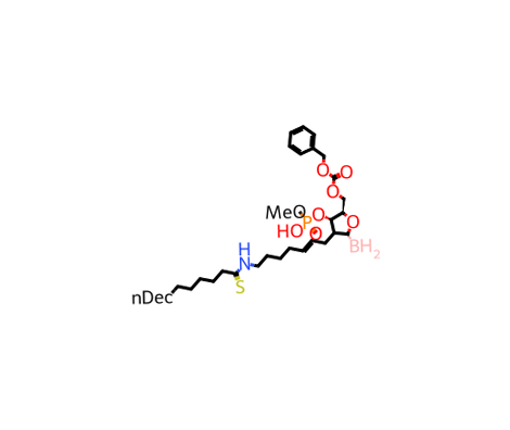 B[C@@H]1O[C@H](COC(=O)OCc2ccccc2)[C@H](OP(=O)(O)OC)C1C/C=C/CCCCNC(=S)CCCCCCCCCCCCCCC